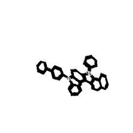 C1=CCCC(N2C3=C(C4=CC=C5C=CCCC5C42)c2c(n(-c4ccc(-c5ccccc5)cc4)c4ccccc24)CC3)=C1